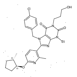 CCn1c(=O)n(CCCO)c(=O)c2c1nc(-c1ccc(O[C@H]3CCC[C@@H]3C)nc1C)n2Cc1ccc(Cl)cc1